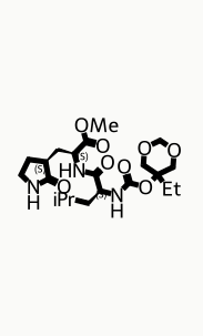 CCC1(OC(=O)N[C@@H](CC(C)C)C(=O)N[C@@H](C[C@@H]2CCNC2=O)C(=O)OC)COCOC1